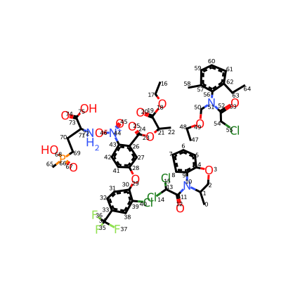 CC1COc2ccccc2N1C(=O)C(Cl)Cl.CCOC(=O)C(C)OC(=O)c1cc(Oc2ccc(C(F)(F)F)cc2Cl)ccc1[N+](=O)[O-].CCOCN(C(=O)CCl)c1c(C)cccc1CC.CP(=O)(O)CCC(N)C(=O)O